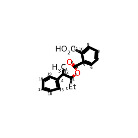 CCC(OC(=O)c1ccccc1C(=O)O)C(C)c1ccccc1